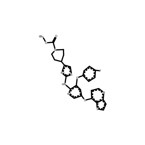 CC(C)(C)OC(=O)N1CCC(c2csc(Nc3ncc(Sc4ccnc5ccsc45)cc3Oc3ccc(F)cc3)n2)CC1